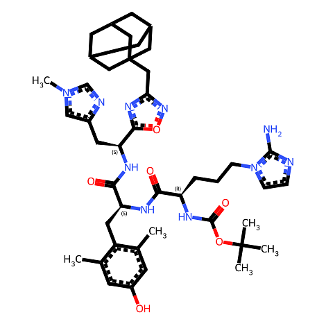 Cc1cc(O)cc(C)c1C[C@H](NC(=O)[C@@H](CCCn1ccnc1N)NC(=O)OC(C)(C)C)C(=O)N[C@@H](Cc1cn(C)cn1)c1nc(CC23CC4CC(CC(C4)C2)C3)no1